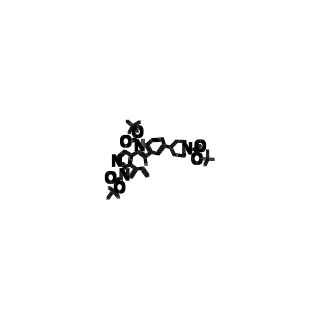 C=Cc1cn(C(=O)OC(C)(C)C)c2nccc(-c3c(C)c4cc(C5CCN(C(=O)OC(C)(C)C)CC5)ccc4n3C(=O)OC(C)(C)C)c12